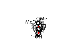 [2H]OC(C)(C([2H])([2H])[2H])C([2H])([2H])[C@]1([2H])C(=O)C([2H])([2H])[C@@]2([2H])c3c([2H])c(OC)c(OC)c([2H])c3C([2H])([2H])C([2H])([2H])N2C1([2H])[2H]